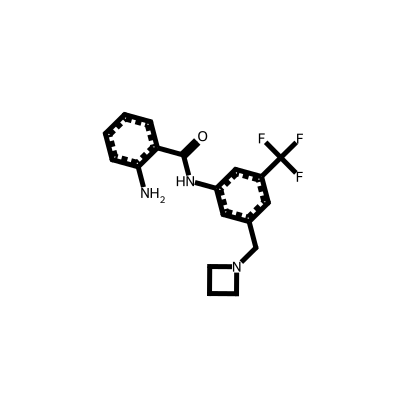 Nc1ccccc1C(=O)Nc1cc(CN2CCC2)cc(C(F)(F)F)c1